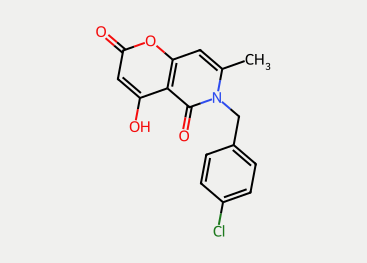 Cc1cc2oc(=O)cc(O)c2c(=O)n1Cc1ccc(Cl)cc1